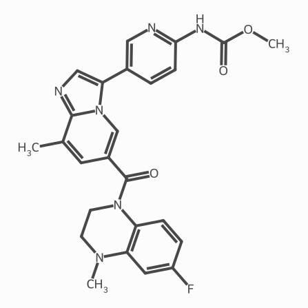 COC(=O)Nc1ccc(-c2cnc3c(C)cc(C(=O)N4CCN(C)c5cc(F)ccc54)cn23)cn1